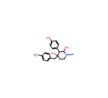 CCCN1CCC(O)(Cc2ccc(C)cc2)C(c2ccc(O)cc2)C1O